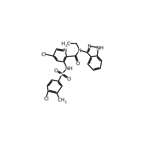 CCN(C(=O)c1ncc(Cl)cc1NS(=O)(=O)c1ccc(Cl)c(C)c1)c1n[nH]c2ccccc12